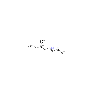 C=CC[S+]([O-])C/C=C/SSC